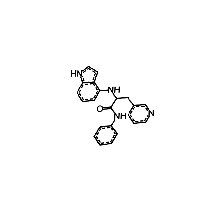 O=C(Nc1ccccc1)C(Cc1cccnc1)Nc1cccc2[nH]ccc12